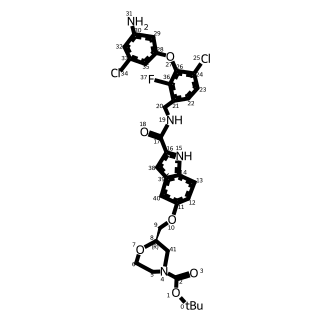 CC(C)(C)OC(=O)N1CCO[C@@H](COc2ccc3[nH]c(C(=O)NCc4ccc(Cl)c(Oc5cc(N)cc(Cl)c5)c4F)cc3c2)C1